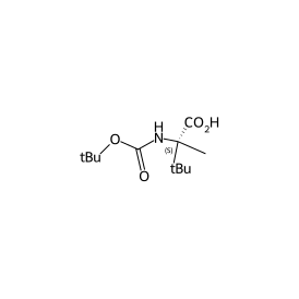 CC(C)(C)OC(=O)N[C@](C)(C(=O)O)C(C)(C)C